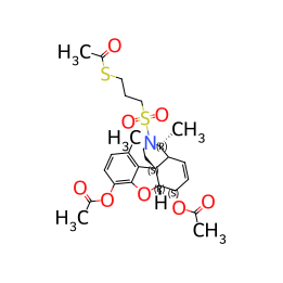 CC(=O)Oc1ccc(C)c2c1O[C@H]1[C@@H](OC(C)=O)C=CC3[C@@H](C)N(S(=O)(=O)CCCSC(C)=O)CC[C@@]231